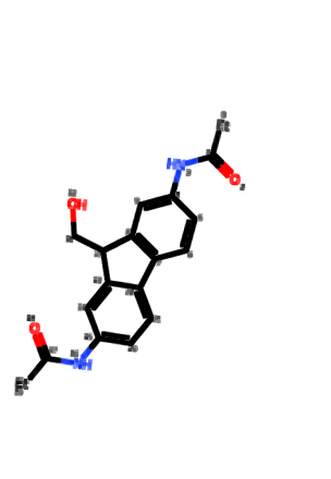 CCC(=O)Nc1ccc2c(c1)C(CO)c1cc(NC(=O)CC)ccc1-2